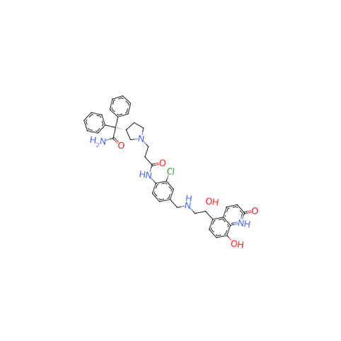 NC(=O)C(c1ccccc1)(c1ccccc1)[C@@H]1CCN(CCC(=O)Nc2ccc(CNC[C@H](O)c3ccc(O)c4[nH]c(=O)ccc34)cc2Cl)C1